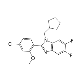 COc1cc(Cl)ccc1-c1nc2cc(F)c(F)cc2n1CC1CCCC1